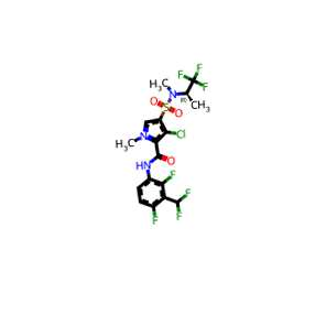 C[C@@H](N(C)S(=O)(=O)c1cn(C)c(C(=O)Nc2ccc(F)c(C(F)F)c2F)c1Cl)C(F)(F)F